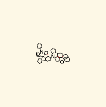 c1ccc(-c2ccc(-c3ccccc3N(c3ccc4c(c3)C3(c5ccccc5-4)c4ccccc4N(c4ccccc4)c4ccccc43)c3ccc4oc5ccccc5c4c3)cc2)cc1